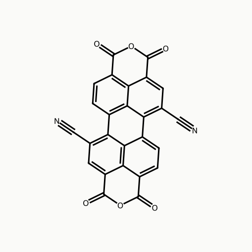 N#Cc1cc2c3c(ccc4c5c(C#N)cc6c7c(ccc(c1c34)c75)C(=O)OC6=O)C(=O)OC2=O